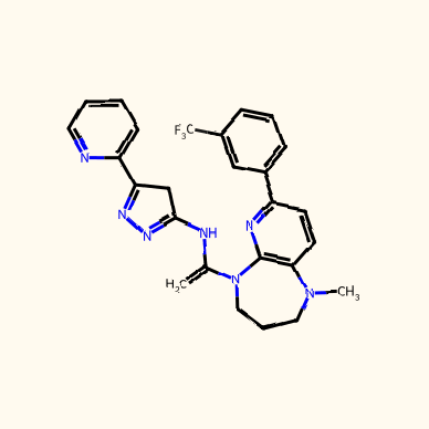 C=C(NC1=NN=C(c2ccccn2)C1)N1CCCN(C)c2ccc(-c3cccc(C(F)(F)F)c3)nc21